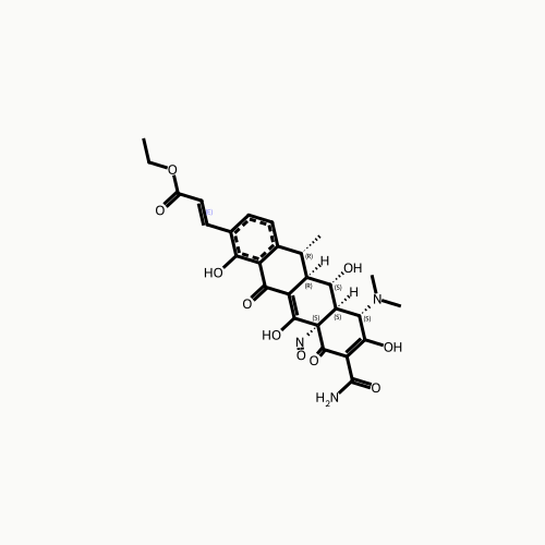 CCOC(=O)/C=C/c1ccc2c(c1O)C(=O)C1=C(O)[C@]3(N=O)C(=O)C(C(N)=O)=C(O)[C@@H](N(C)C)[C@@H]3[C@@H](O)[C@@H]1[C@H]2C